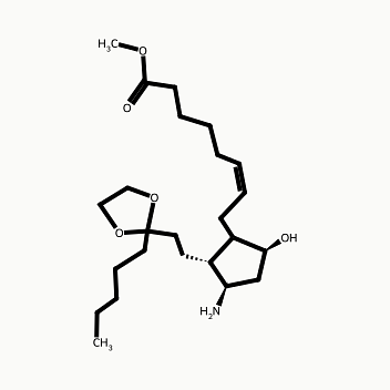 CCCCCC1(CC[C@@H]2C(C/C=C\CCCCC(=O)OC)[C@@H](O)C[C@H]2N)OCCO1